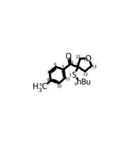 CCCCSC1(C(=O)c2ccc(C)cc2)CCOC1